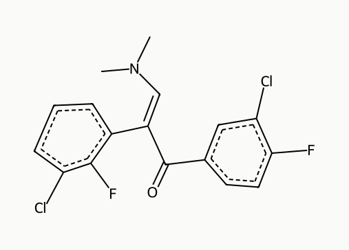 CN(C)C=C(C(=O)c1ccc(F)c(Cl)c1)c1cccc(Cl)c1F